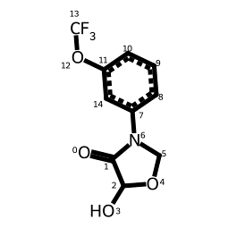 O=C1C(O)OCN1c1cccc(OC(F)(F)F)c1